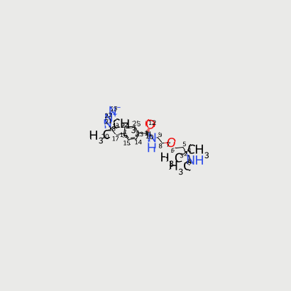 CNC(C)(C)CCOCCNC(=O)c1ccc(CC(C)(C)N=[N+]=[N-])cc1